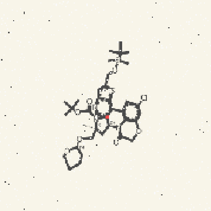 CC(C)(C)OC(=O)N1C[C@@H](N2C(=O)COc3cc(Cl)cc(-c4ccnc5cc(CO[Si](C)(C)C(C)(C)C)sc45)c32)C[C@@]1(C)CO[C@H]1CCCCO1